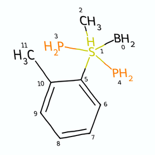 B[SH](C)(P)(P)c1ccccc1C